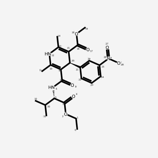 CCOC(=O)[C@@H](NC(=O)C1=C(C)NC(C)=C(C(=O)OC)[C@H]1c1cccc([N+](=O)[O-])c1)C(C)C